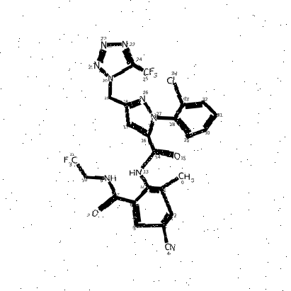 Cc1cc(C#N)cc(C(=O)NCC(F)(F)F)c1NC(=O)c1cc(Cn2nnnc2C(F)(F)F)nn1-c1ccccc1Cl